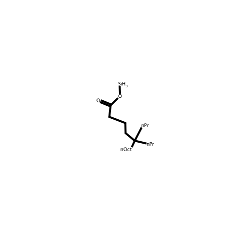 CCCCCCCCC(CCC)(CCC)CCCC(=O)O[SiH3]